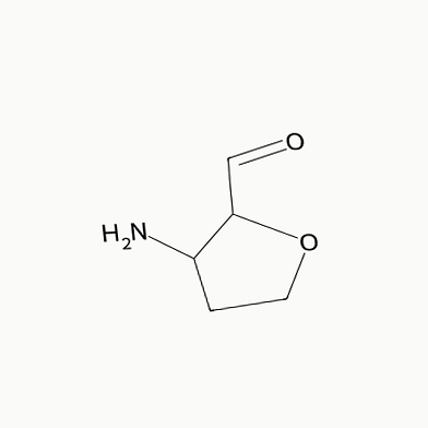 NC1CCOC1C=O